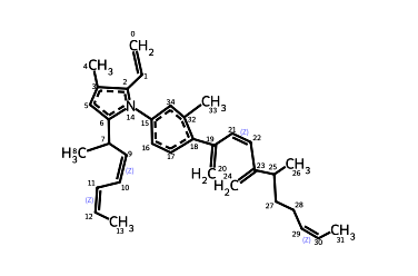 C=Cc1c(C)cc(C(C)/C=C\C=C/C)n1-c1ccc(C(=C)/C=C\C(=C)C(C)CC/C=C\C)c(C)c1